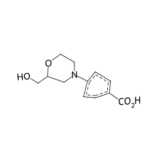 O=C(O)c1ccc(N2CCOC(CO)C2)cc1